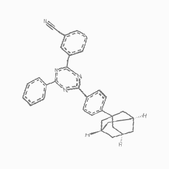 N#Cc1cccc(-c2nc(-c3ccccc3)nc(-c3ccc(C45C[C@H]6C[C@H](C4)C[C@@H](C5)C6)cc3)n2)c1